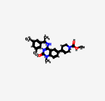 C[C@@H](Nc1nc(=O)n(C)c2ccc(C3=CCN(C(=O)OC(C)(C)C)CC3)cc12)c1cc([N+](=O)[O-])cc(C(F)(F)F)c1